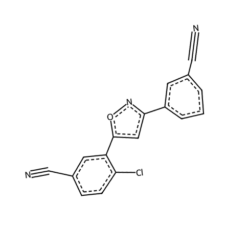 N#Cc1cccc(-c2cc(-c3cc(C#N)ccc3Cl)on2)c1